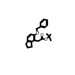 CC(C)(C)OC(=O)Cc1c(OCc2ccccc2)ccc2c1CCC2